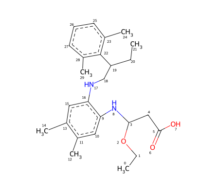 CCOC(CC(=O)O)Nc1cc(C)c(C)cc1NCC(CC)c1c(C)cccc1C